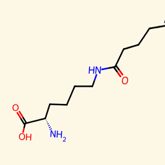 C=CCCCC(=O)NCCCC[C@H](N)C(=O)O